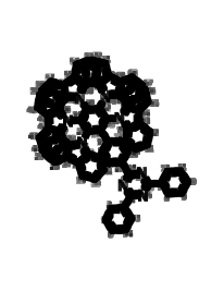 c1ccc(-c2nc(-c3ccccc3)nc(-c3ccc(-c4c(-n5c6ccccc6c6ccccc65)c(-n5c6ccccc6c6ccccc65)c(-n5c6ccccc6c6ccccc65)c(-n5c6ccccc6c6ccccc65)c4-n4c5ccccc5c5ccccc54)cc3)n2)cc1